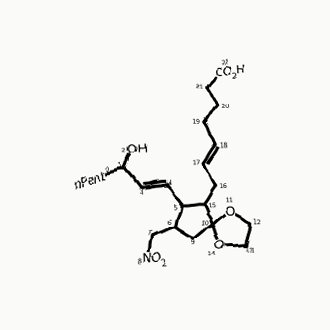 CCCCCC(O)/C=C/C1C(C[N+](=O)[O-])CC2(OCCO2)C1C/C=C/CCCC(=O)O